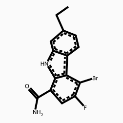 CCc1ccc2c(c1)[nH]c1c(C(N)=O)cc(F)c(Br)c12